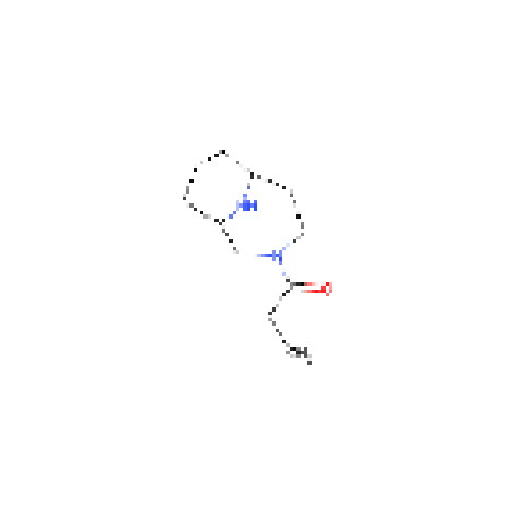 CCC(=O)N1CCC2CCCC(C1)N2